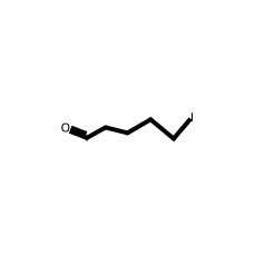 O=[C]CCCCI